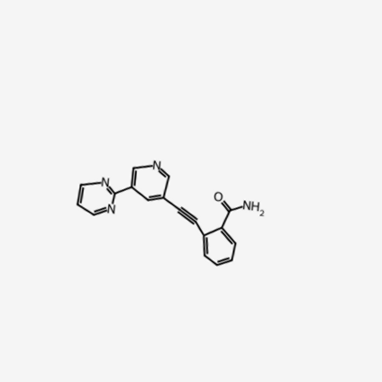 NC(=O)c1ccccc1C#Cc1cncc(-c2ncccn2)c1